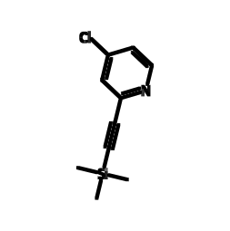 C[Si](C)(C)C#Cc1cc(Cl)ccn1